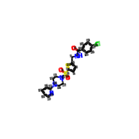 O=C(NCc1ccc(S(=O)(=O)N2CCN(c3ccccn3)CC2)s1)c1ccc(Cl)cc1